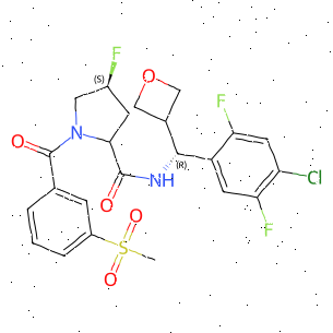 CS(=O)(=O)c1cccc(C(=O)N2C[C@@H](F)CC2C(=O)N[C@@H](c2cc(F)c(Cl)cc2F)C2COC2)c1